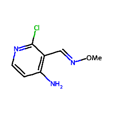 CO/N=C/c1c(N)ccnc1Cl